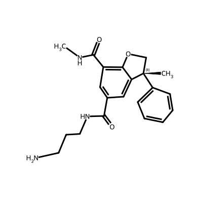 CNC(=O)c1cc(C(=O)NCCCN)cc2c1OC[C@]2(C)c1ccccc1